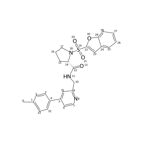 Cc1ccc(-c2ccnc(CNC(=O)[C@@H]3CCCN3S(=O)(=O)c3cc4ccccc4o3)c2)cc1